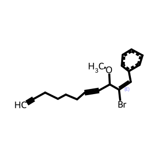 C#CCCCCC#CC(OC)/C(Br)=C\c1ccccc1